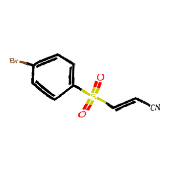 N#CC=CS(=O)(=O)c1ccc(Br)cc1